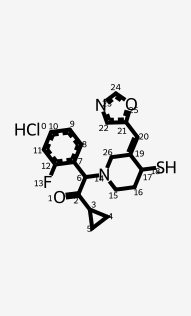 Cl.O=C(C1CC1)C(c1ccccc1F)N1CCC(S)/C(=C/c2cnco2)C1